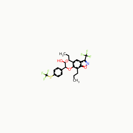 CCCc1cc2c(C(F)(F)F)noc2c(CCC)c1OC(C(=O)O)c1ccc(SC(F)(F)F)cc1